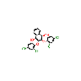 Oc1c(Oc2ccc(Cl)cc2Cl)c(Oc2ccc(Cl)cc2Cl)c(O)c2ccccc12